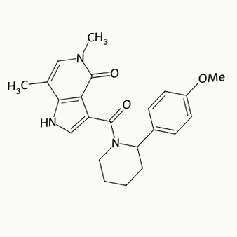 COc1ccc(C2CCCCN2C(=O)c2c[nH]c3c(C)cn(C)c(=O)c23)cc1